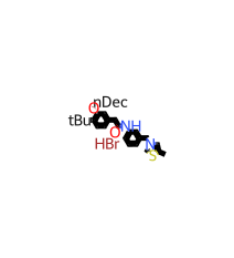 Br.CCCCCCCCCCOc1cc(CC(=O)Nc2cccc(CN3C=C(C)SC3)c2)ccc1C(C)(C)C